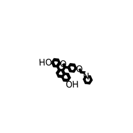 O=C(C1=CCC(OCCN2CCCCC2)C=C1)c1c(-c2cccc(O)c2)ccc2cc(O)ccc12